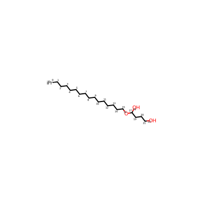 CC(C)CCCCCCCCCCCCCCCOC(O)CCCO